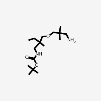 CCC(C)(CNC(=O)OC(C)(C)C)COCC(C)(C)CN